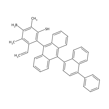 Bc1c(C)c(S)c(-c2c3ccccc3c(-c3ccc(-c4ccccc4)c4ccccc34)c3ccccc23)c(C=C)c1C